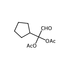 CC(=O)OC(C=O)(OC(C)=O)C1CCCC1